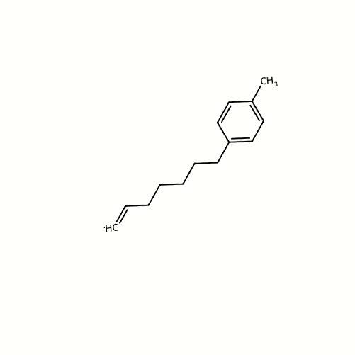 [CH]=CCCCCCc1ccc(C)cc1